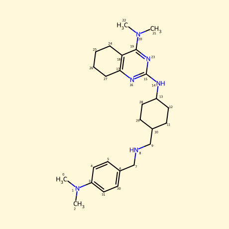 CN(C)c1ccc(CNCC2CCC(Nc3nc4c(c(N(C)C)n3)CCCC4)CC2)cc1